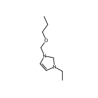 CCCOCN1C=CN(CC)C1